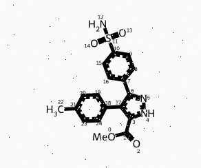 COC(=O)c1[nH]nc(-c2ccc(S(N)(=O)=O)cc2)c1-c1ccc(C)cc1